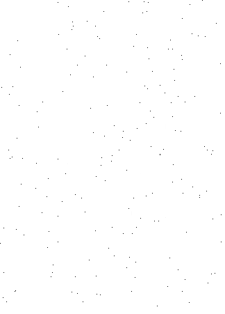 C[C](CO)c1cc(OC(F)F)cc(OC(F)F)c1